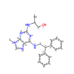 CCC(CO)Nc1nc(NCC(c2ccccc2)c2ccccc2)c2ncn(C)c2n1